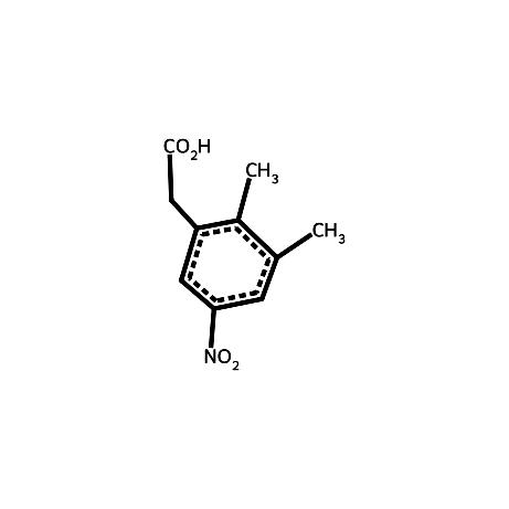 Cc1cc([N+](=O)[O-])cc(CC(=O)O)c1C